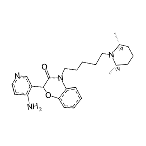 C[C@@H]1CCC[C@H](C)N1CCCCCN1C(=O)C(c2cnccc2N)Oc2ccccc21